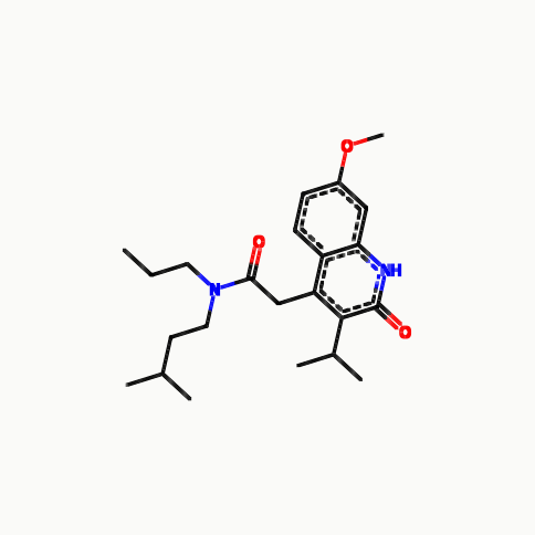 CCCN(CCC(C)C)C(=O)Cc1c(C(C)C)c(=O)[nH]c2cc(OC)ccc12